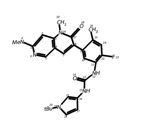 CNc1cc2c(cn1)cc(-c1cc(NC(=O)Nc3ccn(C(C)(C)C)c3)c(F)cc1C)c(=O)n2C